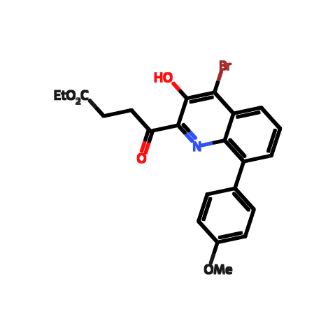 CCOC(=O)CCC(=O)c1nc2c(-c3ccc(OC)cc3)cccc2c(Br)c1O